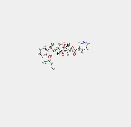 CCCC(=O)Oc1ccccc1C(=O)O[C@H]1CO[C@H]2[C@@H]1OC[C@H]2OC(=O)c1cccnc1